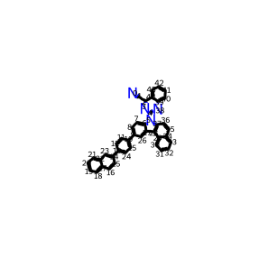 N#Cc1nc(-n2c3ccc(-c4ccc(-c5ccc6ccccc6c5)cc4)cc3c3c4ccccc4ccc32)nc2ccccc12